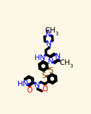 Cc1cnc(C(CCN2CCN(C)CC2)Nc2ccc3c(c2)Sc2cccc(C4CN(c5ccc[nH]c5=O)CCO4)c2S3)cn1